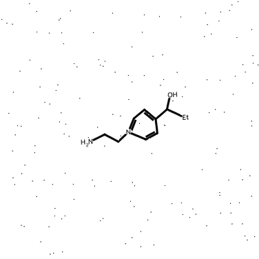 CCC(O)c1cc[n+](CCN)cc1